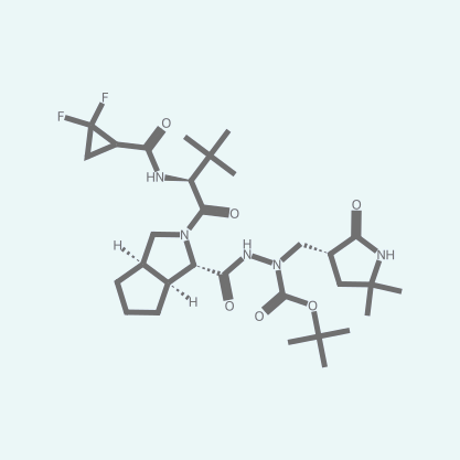 CC1(C)C[C@H](CN(NC(=O)[C@@H]2[C@H]3CCC[C@H]3CN2C(=O)[C@@H](NC(=O)C2CC2(F)F)C(C)(C)C)C(=O)OC(C)(C)C)C(=O)N1